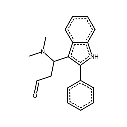 CN(C)C(CC=O)c1c(-c2ccccc2)[nH]c2ccccc12